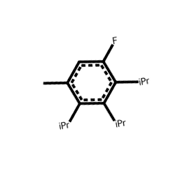 Cc1cc(F)c(C(C)C)c(C(C)C)c1C(C)C